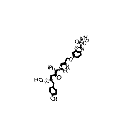 CC(C)[C@H](C(=O)C[C@@H](Cc1ccc(C#N)cc1)C(=O)O)n1cc(COc2ccc3nc(S(N)(=O)=O)sc3c2)nn1